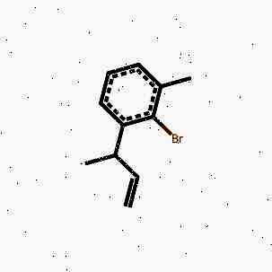 [CH2]C(C=C)c1cccc(C)c1Br